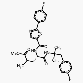 COC(=O)C(C)C[C@H](NC(=O)c1cnc(-c2ccc(F)cc2)s1)C(=O)NC(C)(C)Cc1ccc(F)cc1